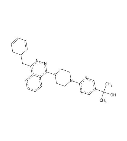 CC(C)(O)c1cnc(N2CCN(c3nnc(CC4C=CC=CC4)c4ccccc34)CC2)nc1